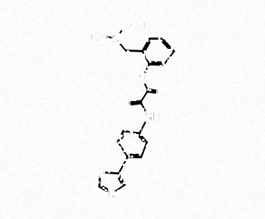 CC(C)(C)N(Cc1ccccc1NC(=O)C(=O)Nc1ccc(-c2cnco2)cc1)C(=O)O